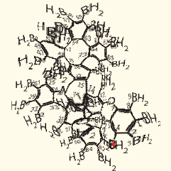 Bc1c(B)c(B)c2c(c1B)Oc1c(B)c(-c3c(B)c4c(c(B)c3-n3c5c(B)c(B)c(B)c(B)c5c5c(B)c(B)c(B)c(B)c53)-c3c(B)c(B)c(B)c(B)c3-c3c(B)c(B)c(B)c(B)c3-c3c(B)c(B)c(B)c(B)c3-4)c(B)c3c1B2c1c(B)c(B)c(B)c(B)c1O3